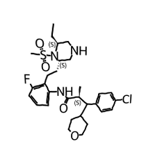 CC[C@H]1CNC[C@H](CCc2c(F)cccc2NC(=O)[C@@H](C)C(c2ccc(Cl)cc2)C2CCOCC2)N1S(C)(=O)=O